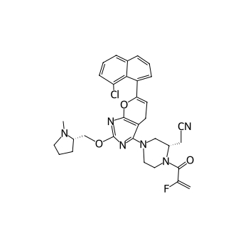 C=C(F)C(=O)N1CCN(c2nc(OC[C@@H]3CCCN3C)nc3c2CC=C(c2cccc4cccc(Cl)c24)O3)C[C@@H]1CC#N